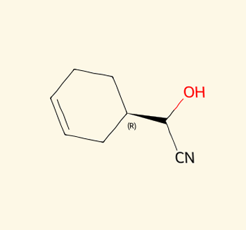 N#CC(O)[C@H]1CC=CCC1